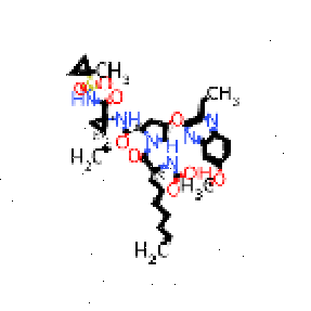 C=CCCCCC[C@H](NC(=O)O)C(=O)N1C[C@H](Oc2nc3cc(OC)ccc3nc2CC)C[C@H]1C(=O)N[C@]1(C(=O)NS(=O)(=O)C2(C)CC2)C[C@H]1C=C